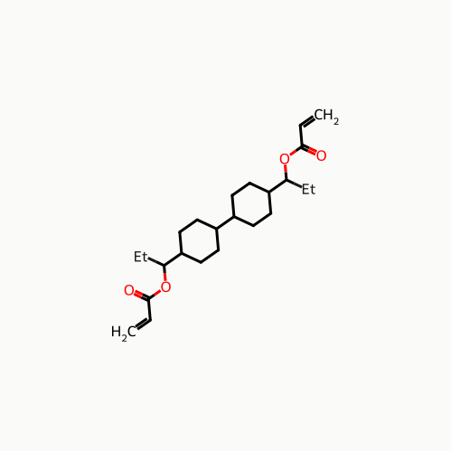 C=CC(=O)OC(CC)C1CCC(C2CCC(C(CC)OC(=O)C=C)CC2)CC1